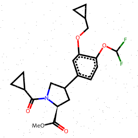 COC(=O)[C@@H]1CC(c2ccc(OC(F)F)c(OCC3CC3)c2)CN1C(=O)C1CC1